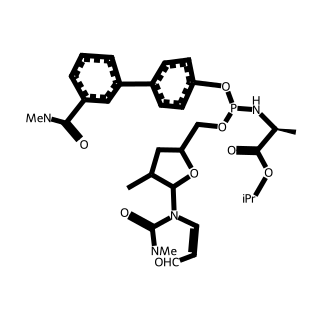 CNC(=O)c1cccc(-c2ccc(OP(N[C@@H](C)C(=O)OC(C)C)OCC3CC(C)C(N(/C=C\C=O)C(=O)NC)O3)cc2)c1